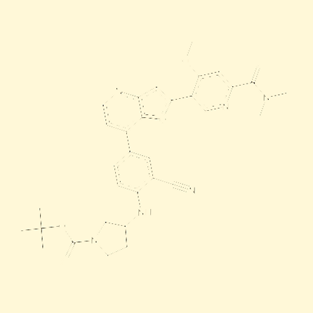 COc1cc(C(=O)N(C)C)ncc1-c1cc2nccc(-c3ccc(NC4CCN(C(=O)OC(C)(C)C)C4)c(C#N)c3)c2o1